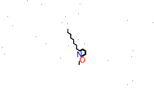 CCCCCCCCc1cccc(OCC)n1